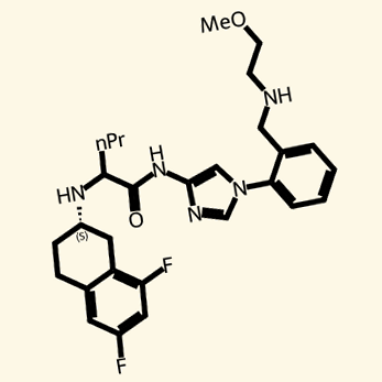 CCCC(N[C@H]1CCc2cc(F)cc(F)c2C1)C(=O)Nc1cn(-c2ccccc2CNCCOC)cn1